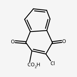 O=C(O)C1=C(Cl)C(=O)c2ccccc2C1=O